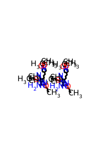 CCCCOc1nc(N)c2c(n1)c(CCCC1CCN(C(=O)OC(C)(C)C)CC1)c(C#N)n2COCC[Si](C)(C)C.CCCCOc1nc(N)c2c(n1)c(CCCC1CCN(C(=O)OC(C)(C)C)CC1)c(C#N)n2COCC[Si](C)(C)C